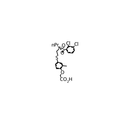 CCCN(CCSc1ccc(OCC(=O)O)c(C)c1)S(=O)(=O)c1cccc(Cl)c1Cl